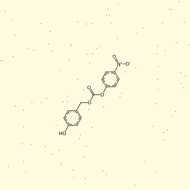 O=C(OCc1ccc(O)cc1)Oc1ccc([N+](=O)[O-])cc1